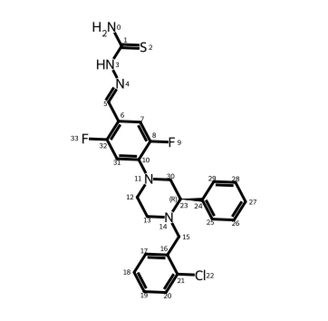 NC(=S)NN=Cc1cc(F)c(N2CCN(Cc3ccccc3Cl)[C@H](c3ccccc3)C2)cc1F